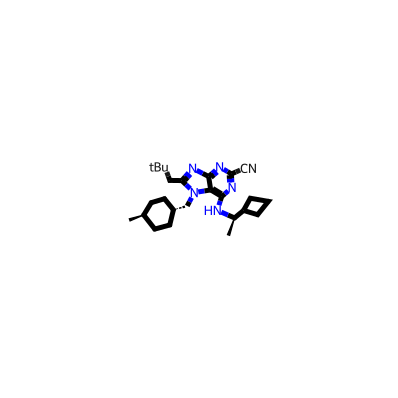 C[C@@H](Nc1nc(C#N)nc2nc(CC(C)(C)C)n(C[C@H]3CC[C@H](C)CC3)c12)C1CCC1